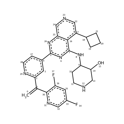 C=C(c1cc(-c2nc(NC3CCNCC3O)c3c(C4CCC4)cncc3n2)ccn1)c1ncc(F)cc1F